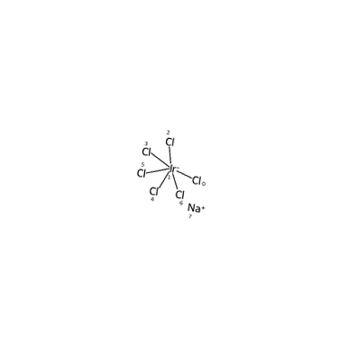 [Cl][Ir-]([Cl])([Cl])([Cl])([Cl])[Cl].[Na+]